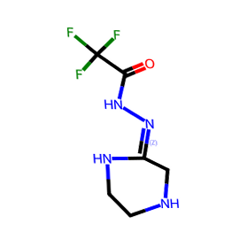 O=C(N/N=C1/CNCCN1)C(F)(F)F